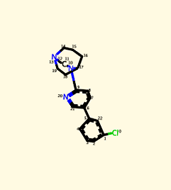 Clc1cccc(-c2ccc(N3CCN4CCCC3CC4)nc2)c1